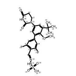 COc1c(-c2cc(F)c(/C=N/NS(C)(=O)=O)c(F)c2)cc(N2CCC(=O)NC2=O)cc1C(C)(C)C